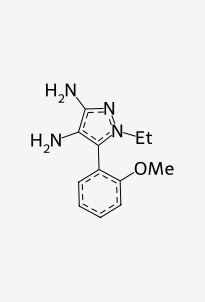 CCn1nc(N)c(N)c1-c1ccccc1OC